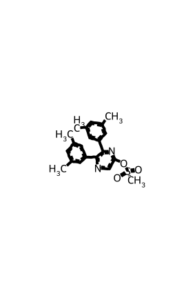 Cc1cc(C)cc(-c2ncc(OS(C)(=O)=O)nc2-c2cc(C)cc(C)c2)c1